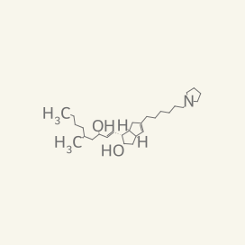 CCCC[C@H](C)C[C@H](O)/C=C/[C@@H]1[C@H]2CC(CCCCCCN3CCCC3)=C[C@H]2C[C@H]1O